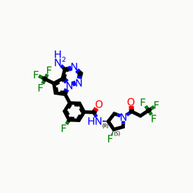 Nc1ncnn2c(-c3cc(F)cc(C(=O)N[C@@H]4CN(C(=O)CC(F)(F)F)C[C@@H]4F)c3)cc(C(F)(F)F)c12